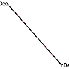 CCCCCCCCCCCCCCCCCCCCCCCCCCCCCCCCCCCCCCCCCCCCCCCCCCCCCCCCCCCCCCCCCCCCCCCCCCCCCCCCCCCCCCCCCCCCCCCCCCCCCCCCCC